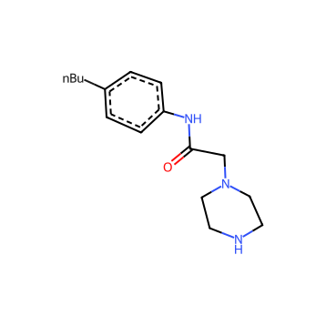 CCCCc1ccc(NC(=O)CN2CCNCC2)cc1